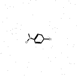 CCC1C=CC([S+](C)[O-])=CC1